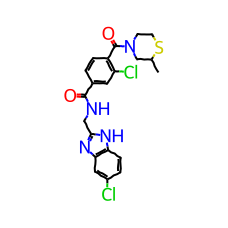 CC1CN(C(=O)c2ccc(C(=O)NCc3nc4cc(Cl)ccc4[nH]3)cc2Cl)CCS1